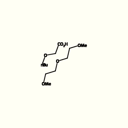 CCCCOCC(=O)O.COCCOCCOC